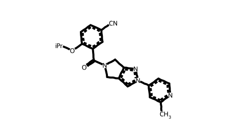 Cc1cc(-n2cc3c(n2)CN(C(=O)c2cc(C#N)ccc2OC(C)C)C3)ccn1